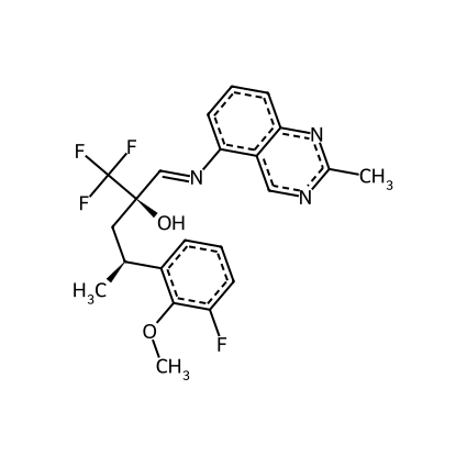 COc1c(F)cccc1[C@@H](C)C[C@@](O)(C=Nc1cccc2nc(C)ncc12)C(F)(F)F